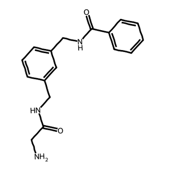 NCC(=O)NCc1cccc(CNC(=O)c2ccccc2)c1